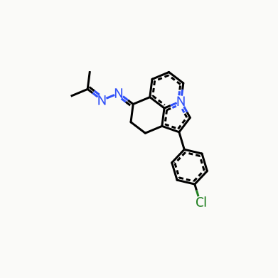 CC(C)=NN=C1CCc2c(-c3ccc(Cl)cc3)cn3cccc1c23